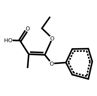 CCO/C(Oc1ccccc1)=C(/C)C(=O)O